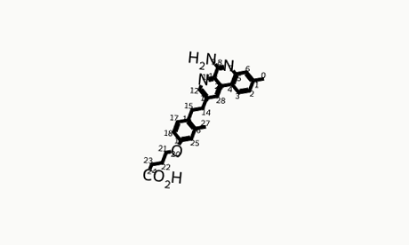 Cc1ccc2c(c1)nc(N)c1ncc(CCc3ccc(OCCCC(=O)O)cc3C)cc12